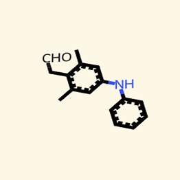 Cc1cc(Nc2ccccc2)cc(C)c1CC=O